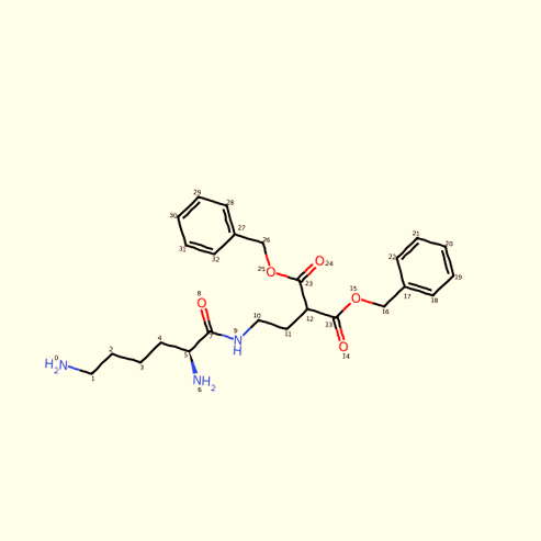 NCCCC[C@H](N)C(=O)NCCC(C(=O)OCc1ccccc1)C(=O)OCc1ccccc1